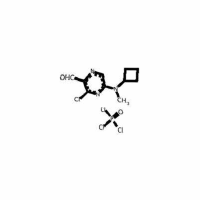 CN(c1cnc(C=O)c(Cl)n1)C1CCC1.O=P(Cl)(Cl)Cl